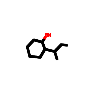 CCC(C)C1CCCCC1O